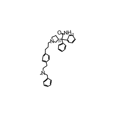 CN(CCc1ccc(CCCN2CC[C@@H](C(C(N)=O)(c3ccccc3)c3ccccc3)C2)cc1)Cc1ccccc1